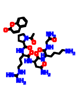 CC(=O)N1CCCC1C(=O)NC(CCCNC(=N)N)C(=O)NC(CC(N)=O)C(=O)NC(CCCCN)C(=O)NCC(N)=O.O=c1ccc2ccccc2o1